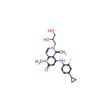 C=C1c2c(Nc3ccc(C4CC4)cc3F)cc(=O)n(C)c2C=CN1CC(O)CO